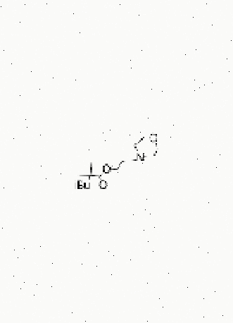 CCC(C)C(C)(C)C(=O)OCCCN1CCOCC1